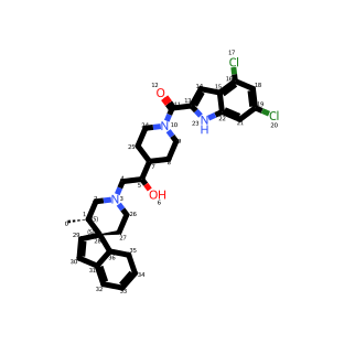 C[C@@H]1CN(CC(O)C2CCN(C(=O)c3cc4c(Cl)cc(Cl)cc4[nH]3)CC2)CC[C@@]12C=CC1=CC=CCC12